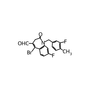 Cc1ccc(CN2C(=O)CC(C=O)=C(Br)c3ccc(F)cc32)cc1F